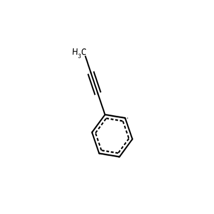 CC#Cc1[c]cccc1